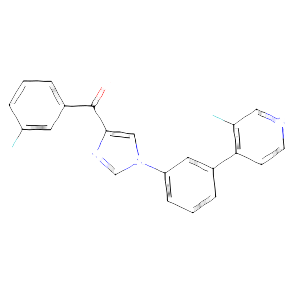 O=C(c1cccc(F)c1)c1cn(-c2cccc(-c3ccncc3F)c2)cn1